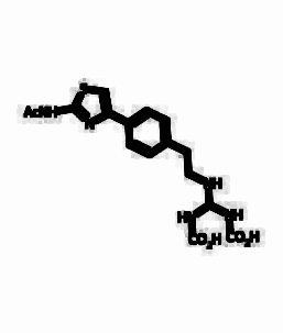 CC(=O)Nc1nc(-c2ccc(CCNC(NC(=O)O)NC(=O)O)cc2)cs1